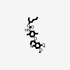 CCCCC(CC)OC(=O)Nc1cc(C)c(Oc2ccnc3cc(OC)c(OC)cc23)cc1C